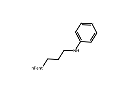 CCCCCCCCNc1cc[c]cc1